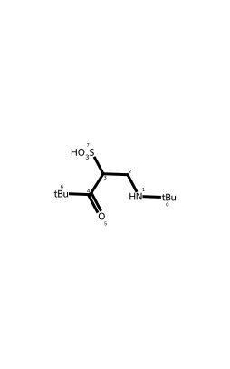 CC(C)(C)NCC(C(=O)C(C)(C)C)S(=O)(=O)O